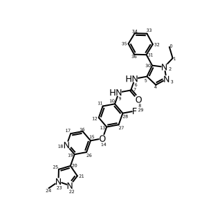 CCn1ncc(NC(=O)Nc2ccc(Oc3ccnc(-c4cnn(C)c4)c3)cc2F)c1-c1ccccc1